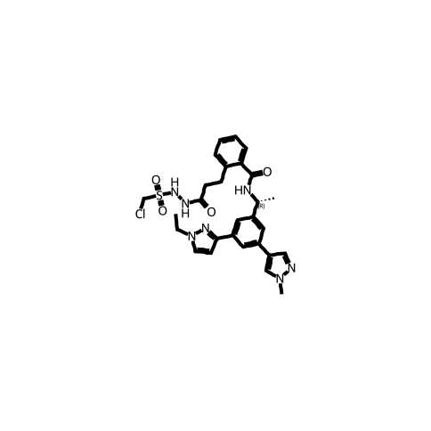 CCn1ccc(-c2cc(-c3cnn(C)c3)cc([C@@H](C)NC(=O)c3ccccc3CCC(=O)NNS(=O)(=O)CCl)c2)n1